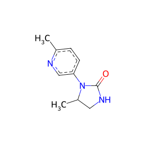 Cc1ccc(N2C(=O)NCC2C)cn1